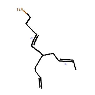 C=CCC(/C=C/CCS)C/C=C/C